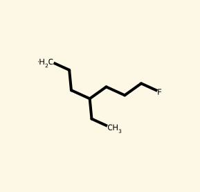 [CH2]CCC(CC)CCCF